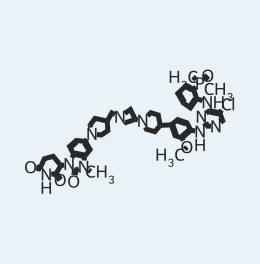 COc1cc(C2CCN(C3CN(CC4CCN(c5ccc6c(c5)n(C)c(=O)n6C5CCC(=O)NC5=O)CC4)C3)CC2)ccc1Nc1ncc(Cl)c(Nc2ccccc2P(C)(C)=O)n1